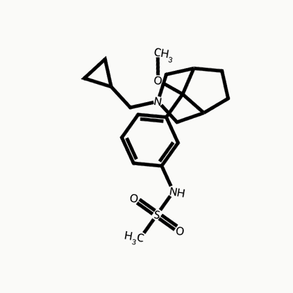 COC1(c2cccc(NS(C)(=O)=O)c2)C2CCC1CN(CC1CC1)C2